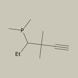 C#CC(C)(C)C(CC)P(C)C